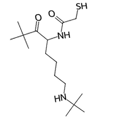 CC(C)(C)NCCCCC(NC(=O)CS)C(=O)C(C)(C)C